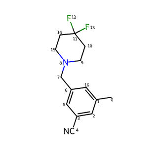 Cc1cc(C#N)cc(CN2CCC(F)(F)CC2)c1